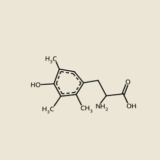 Cc1cc(CC(N)C(=O)O)c(C)c(C)c1O